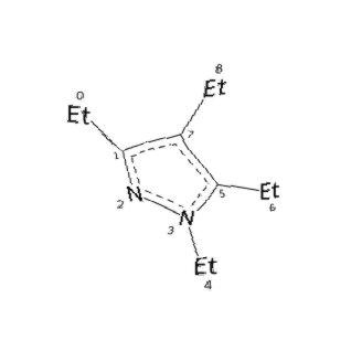 CCc1nn(CC)c(CC)c1CC